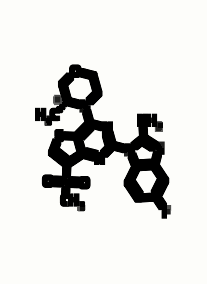 C[C@@H]1COCCN1c1nc(-n2c(N)nc3cc(F)ccc32)nc2c(S(C)(=O)=O)csc12